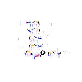 CC(=O)OCC(=N)NCCS(=O)(=O)CC(N)C(=O)O.COCC(=N)NCCS(=O)(=O)CC(N)C(=O)O.CSCC(=N)NCCS(=O)(=O)CC(N)C(=O)O.N=C(CF)NCCS(=O)(=O)CC(N)C(=O)O.N=C(CO)NCCS(=O)(=O)CC(N)C(=O)O.N=C(COCc1ccccc1)NCCS(=O)(=O)CC(N)C(=O)O